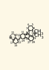 CC1(C)c2ccccc2-n2c3ccc(-c4cccc5c4CCCC5)cc3c3cccc1c32